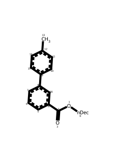 CCCCCCCCCCOC(=O)c1cccc(-c2ccc(C)cc2)c1